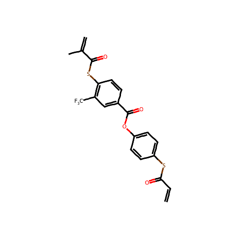 C=CC(=O)Sc1ccc(OC(=O)c2ccc(SC(=O)C(=C)C)c(C(F)(F)F)c2)cc1